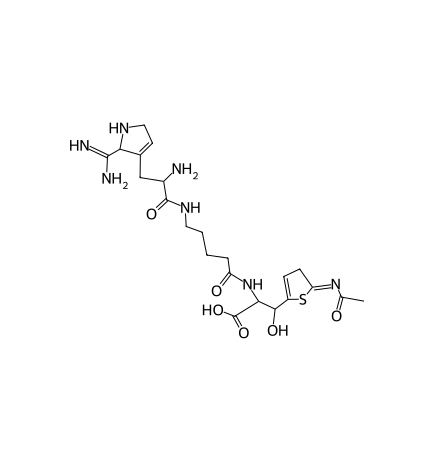 CC(=O)N=C1CC=C(C(O)C(NC(=O)CCCCNC(=O)C(N)CC2=CCNC2C(=N)N)C(=O)O)S1